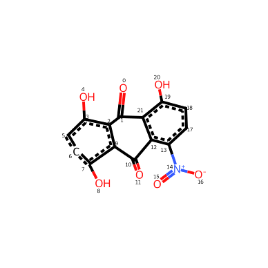 O=C1c2c(O)ccc(O)c2C(=O)c2c([N+](=O)[O-])ccc(O)c21